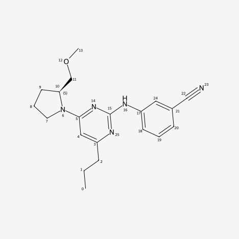 CCCc1cc(N2CCC[C@H]2COC)nc(Nc2cccc(C#N)c2)n1